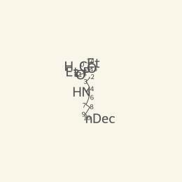 C=P(CCCNCCCCCCCCCCCCCC)(OCC)OCC